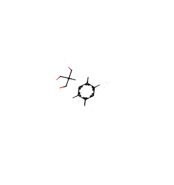 CCC(CO)(CO)CO.COc1cc(C)c(C=O)cc1C=O